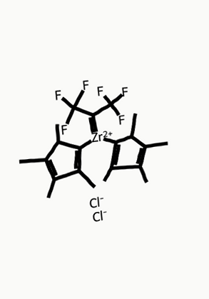 CC1=C(C)C(C)[C]([Zr+2]([C]2=C(C)C(C)=C(C)C2C)=[C](C(F)(F)F)C(F)(F)F)=C1C.[Cl-].[Cl-]